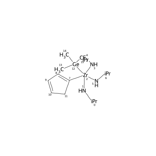 CC(C)[NH][Zr]([NH]C(C)C)([NH]C(C)C)([C]1=CC=CC1)[Ge]([CH3])([CH3])[C](F)(F)F